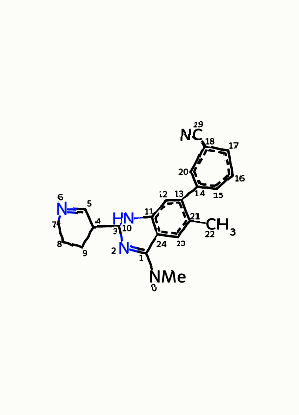 CNC1=NC(C2C=NCCC2)Nc2cc(-c3cccc(C#N)c3)c(C)cc21